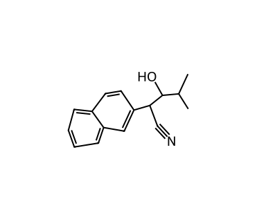 CC(C)C(O)C(C#N)c1ccc2ccccc2c1